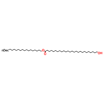 CCCCCCCCCCCCCCCCCCCCCCCCCCOC(=O)CCCCCCCCCCCCCCCCCCCCCCCCCO